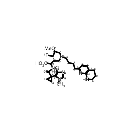 COC(CF)CN(CCCCc1ccc2c(n1)NCCC2)CCC(NC(=O)C1(c2c(Cl)ncn2C)CC1)C(=O)O